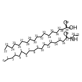 CCCCCCCCCCCCCCCCCC(=O)NCC.CCCCCCCCCCCCCCCCCC(=O)O